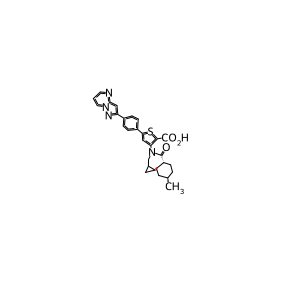 C[C@H]1CC[C@H](C(=O)N(CC2CC2)c2cc(-c3ccc(-c4cc5ncccn5n4)cc3)sc2C(=O)O)CC1